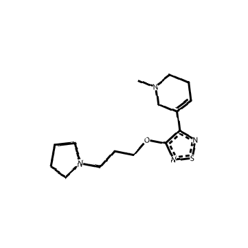 CN1CCC=C(c2nsnc2OCCCN2CCCC2)C1